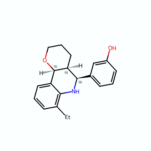 CCc1cccc2c1N[C@H](c1cccc(O)c1)[C@@H]1CCCO[C@H]21